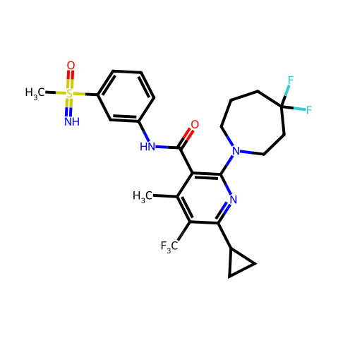 Cc1c(C(=O)Nc2cccc(S(C)(=N)=O)c2)c(N2CCCC(F)(F)CC2)nc(C2CC2)c1C(F)(F)F